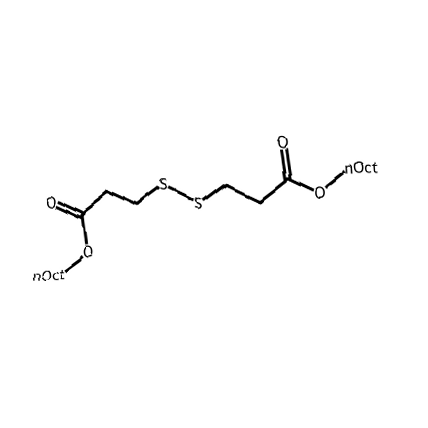 CCCCCCCCOC(=O)CCSSCCC(=O)OCCCCCCCC